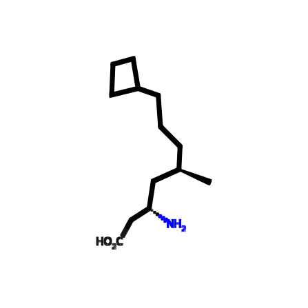 C[C@H](CCCC1CCC1)C[C@H](N)CC(=O)O